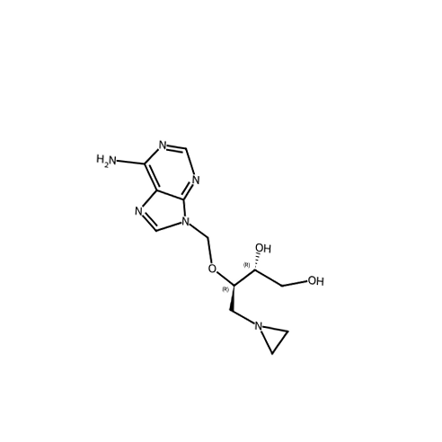 Nc1ncnc2c1ncn2CO[C@H](CN1CC1)[C@H](O)CO